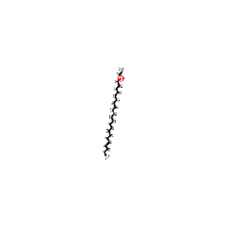 [CH2]CCCCCCCCCCCCCCCCCCCCCOCC